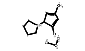 CC1=CC([SiH]2CCCC2)C(C)=C1.[Cl][Zr][Cl]